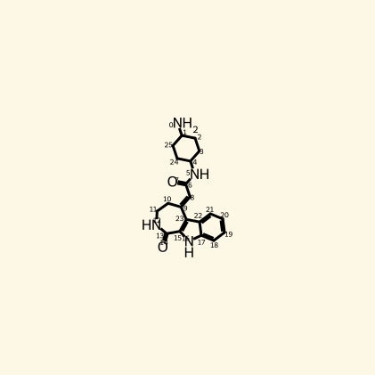 NC1CCC(NC(=O)/C=C2\CCNC(=O)c3[nH]c4ccccc4c32)CC1